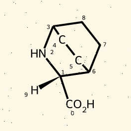 O=C(O)[C@@H]1NC2CCC1CC2